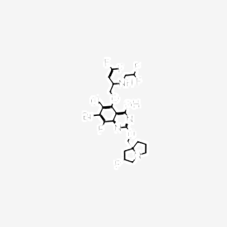 Oc1nc(OC[C@@]23CCCN2C[C@H](F)C3)nc2c(F)c(Br)c(Cl)c(OCC(C=C(F)F)NCC(F)F)c12